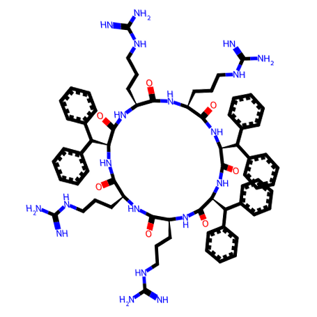 N=C(N)NCCC[C@@H]1NC(=O)[C@H](CCCNC(=N)N)NC(=O)[C@H](C(c2ccccc2)c2ccccc2)NC(=O)[C@H](C(c2ccccc2)c2ccccc2)NC(=O)[C@H](CCCNC(=N)N)NC(=O)[C@H](CCCNC(=N)N)NC(=O)[C@H](C(c2ccccc2)c2ccccc2)NC1=O